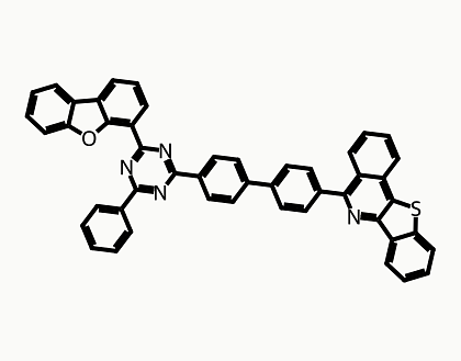 c1ccc(-c2nc(-c3ccc(-c4ccc(-c5nc6c7ccccc7sc6c6ccccc56)cc4)cc3)nc(-c3cccc4c3oc3ccccc34)n2)cc1